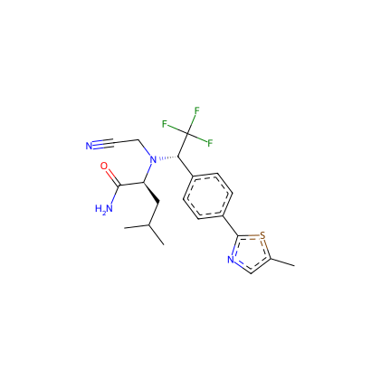 Cc1cnc(-c2ccc([C@H](N(CC#N)[C@@H](CC(C)C)C(N)=O)C(F)(F)F)cc2)s1